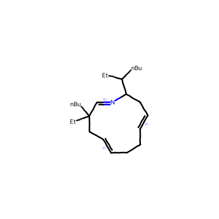 CCCCC(CC)C1C/C=C/CC/C=C/CC(CC)(CCCC)/C=N/1